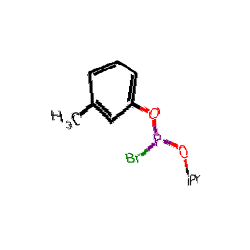 Cc1cccc(OP(Br)OC(C)C)c1